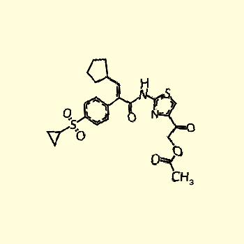 CC(=O)OCC(=O)c1csc(NC(=O)/C(=C/C2CCCC2)c2ccc(S(=O)(=O)C3CC3)cc2)n1